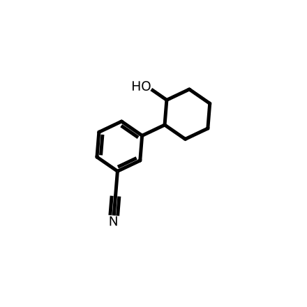 N#Cc1cccc(C2CCCCC2O)c1